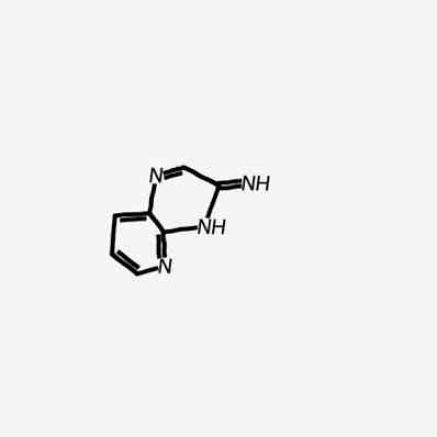 N=c1[c]nc2cccnc2[nH]1